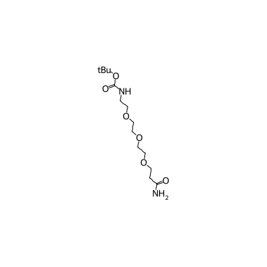 CC(C)(C)OC(=O)NCCOCCOCCOCCC(N)=O